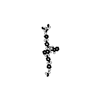 C=CC(=O)OCOc1ccc(OC(=O)C2CCC(C(=O)Oc3c4c(c(OC(=O)C5CCC(C(=O)Oc6ccc(OCC(COC(=O)C=C)OC(=O)C=C)cc6)CC5)c5ccccc35)NC(C3C(=O)c5ccccc5C3=O)S4)CC2)cc1